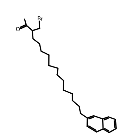 CC(=O)C(CBr)CCCCCCCCCCCCCc1ccc2ccccc2c1